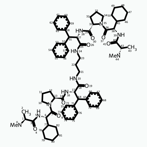 CN[C@@H](C)C(=O)N[C@H](C(=O)N1CCC[C@H]1C(=O)N[C@H](C(=O)NCCCNC(=O)[C@@H](NC(=O)[C@@H]1CCCN1C(=O)[C@@H](NC(=O)[C@H](C)NC)C1CCCCC1)C(c1ccccc1)c1ccccc1)C(c1ccccc1)c1ccccc1)C1CCCCC1